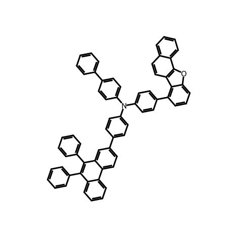 c1ccc(-c2ccc(N(c3ccc(-c4ccc5c(c4)c(-c4ccccc4)c(-c4ccccc4)c4ccccc45)cc3)c3ccc(-c4cccc5oc6c7ccccc7ccc6c45)cc3)cc2)cc1